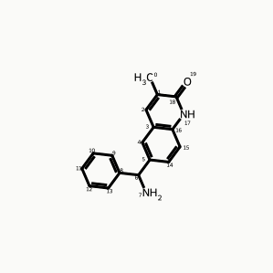 Cc1cc2cc(C(N)c3ccccc3)ccc2[nH]c1=O